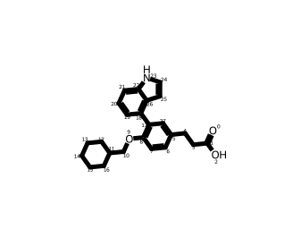 O=C(O)CCc1ccc(OCC2CCCCC2)c(-c2cccc3[nH]ccc23)c1